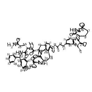 Cn1c(=O)n(C2CCC(=O)NC2=O)c2ccc(CCCCOc3ccc4c5c3CC[C@H](NC(=O)OC(C)(C)C)C(=O)N5[C@H](C(=O)N[C@@H](CCC(N)=O)C(=O)NC(c3ccccc3)c3ccccc3)C4)cc21